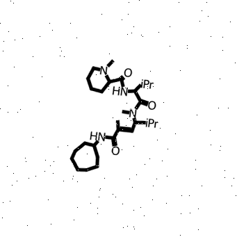 C/C(=C\C(C(C)C)N(C)C(=O)C(NC(=O)C1CCCCN1C)C(C)C)C(=O)NC1CCCCCCC1